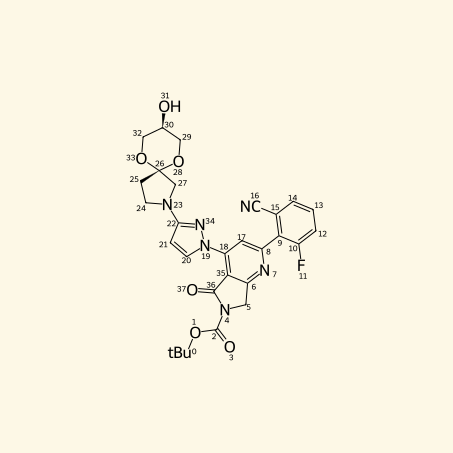 CC(C)(C)OC(=O)N1Cc2nc(-c3c(F)cccc3C#N)cc(-n3ccc(N4CC[C@]5(C4)OC[C@H](O)CO5)n3)c2C1=O